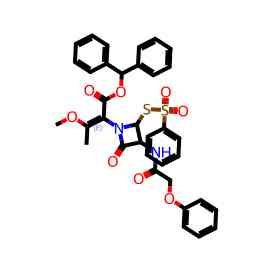 CO/C(C)=C(\C(=O)OC(c1ccccc1)c1ccccc1)N1C(=O)C(NC(=O)COc2ccccc2)C1SS(=O)(=O)c1ccccc1